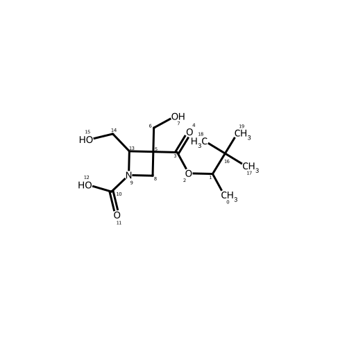 CC(OC(=O)C1(CO)CN(C(=O)O)C1CO)C(C)(C)C